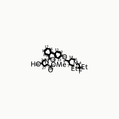 CCC(F)(CC)CN1CCC(COc2ccc(-c3ccccc3C(=O)N3C[C@H](O)C[C@H]3C(=O)OC)cc2)CC1